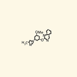 COc1cc(Oc2ncc3ccccc3n2)cc(-n2cnc(C)c2)c1